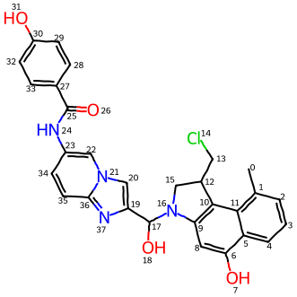 Cc1cccc2c(O)cc3c(c12)C(CCl)CN3C(O)c1cn2cc(NC(=O)c3ccc(O)cc3)ccc2n1